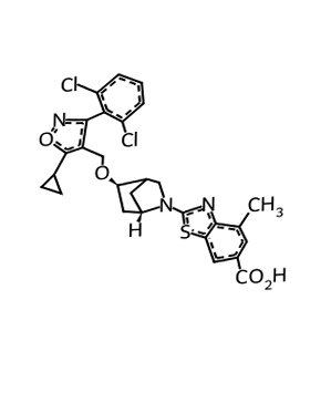 Cc1cc(C(=O)O)cc2sc(N3CC4C[C@H]3C[C@H]4OCc3c(-c4c(Cl)cccc4Cl)noc3C3CC3)nc12